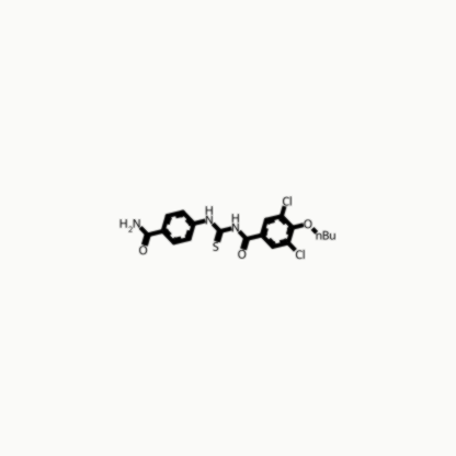 CCCCOc1c(Cl)cc(C(=O)NC(=S)Nc2ccc(C(N)=O)cc2)cc1Cl